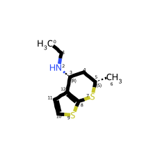 CCN[C@@H]1C[C@H](C)Sc2sccc21